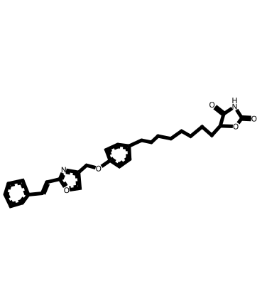 O=C1NC(=O)C(CCCCCCCCc2ccc(OCc3coc(/C=C/c4ccccc4)n3)cc2)O1